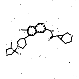 CC1(N2CCC(c3cc4cc(NC(=O)C5C6CCOCC65)ncc4cc3Cl)CC2)COCC1F